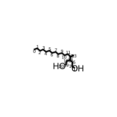 CCCCCCCCCCCCC(C)[C](CCO)CCO